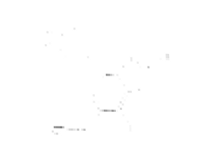 N#CSc1cc(OCP(=O)(O)O)c2nc(N)sc2c1Br